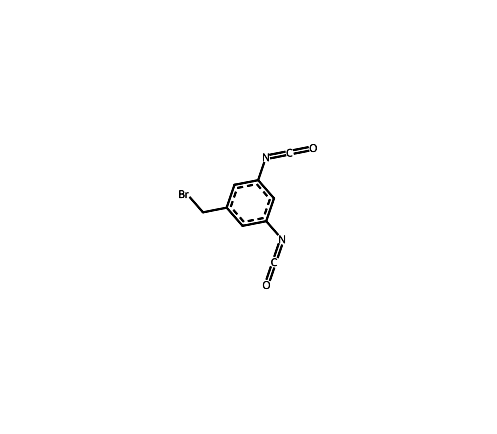 O=C=Nc1cc(CBr)cc(N=C=O)c1